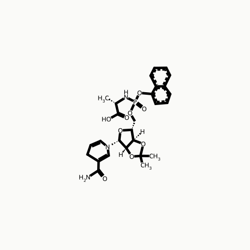 C[C@H](NP(=O)(OC[C@H]1O[C@@H](N2C=CCC(C(N)=O)=C2)[C@@H]2OC(C)(C)O[C@@H]21)Oc1cccc2ccccc12)C(=O)O